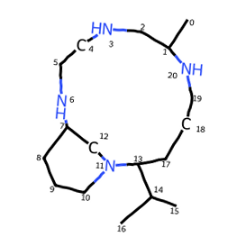 CC1CNCCNC2CCCN(C2)C(C(C)C)CCCN1